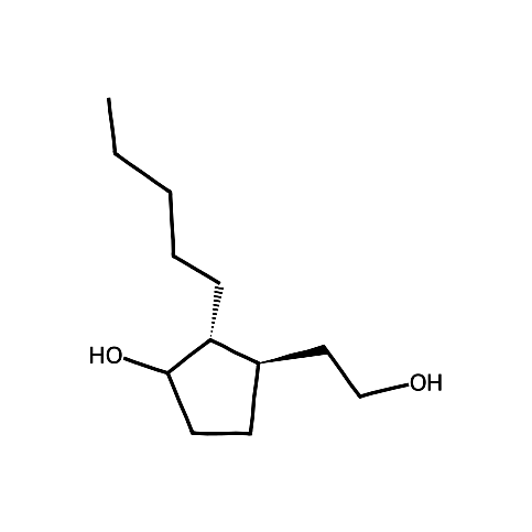 CCCCC[C@H]1C(O)CC[C@@H]1CCO